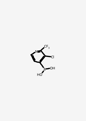 OB(O)c1ccnc(C(F)(F)F)c1Cl